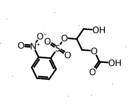 O=C(O)OCC(CO)OS(=O)(=O)c1ccccc1[N+](=O)[O-]